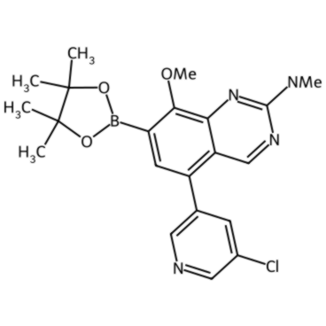 CNc1ncc2c(-c3cncc(Cl)c3)cc(B3OC(C)(C)C(C)(C)O3)c(OC)c2n1